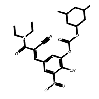 CCN(CC)C(=O)/C(C#N)=C/c1cc(OC(=O)OC2CC(C)CC(C)C2)c(O)c([N+](=O)[O-])c1